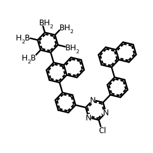 Bc1c(B)c(B)c(-c2ccc(-c3cccc(-c4nc(Cl)nc(-c5cccc(-c6cccc7ccccc67)c5)n4)c3)c3ccccc23)c(B)c1B